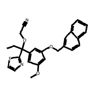 CCC(OCC#N)(c1cc(OC)cc(OCc2ccc3ccccc3c2)c1)c1nccs1